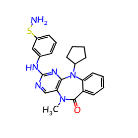 CN1C(=O)c2ccccc2N(C2CCCC2)c2nc(Nc3cccc(SN)c3)ncc21